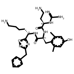 Cc1cc(O)cc(C)c1C[C@H](NC(=O)[C@@H](CCN)NC(=N)N)C(=O)N[C@@H](CCCCN)c1nc(Cc2ccccc2)no1